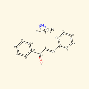 CC(=O)O.N.O=C(/C=C/c1ccccc1)c1ccccc1